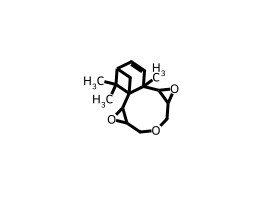 CC1(C)C2C=CC3(C)C4OC4COCC4OC4C13C2